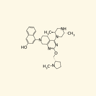 C[C@@H]1CN(c2nc(OC[C@@H]3CCCN3C)nc3c2CCN(c2cc(O)cc4ccccc24)C3)[C@@H](C)CN1